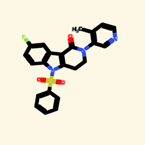 Cc1ccncc1N1CCc2c(c3cc(F)ccc3n2S(=O)(=O)c2ccccc2)C1=O